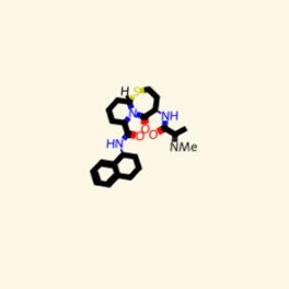 CNC(C)C(=O)N[C@H]1CCS[C@H]2CCCC(C(=O)N[C@@H]3CCCc4ccccc43)N2C1=O